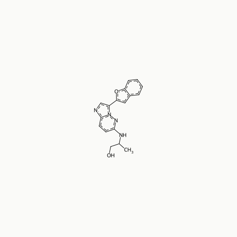 CC(CO)Nc1ccc2ncc(-c3cc4ccccc4o3)n2n1